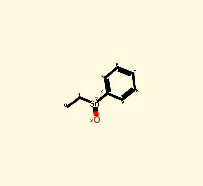 C[CH2][Sn](=[O])[c]1ccccc1